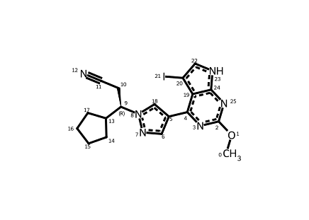 COc1nc(-c2cnn([C@H](CC#N)C3CCCC3)c2)c2c(I)c[nH]c2n1